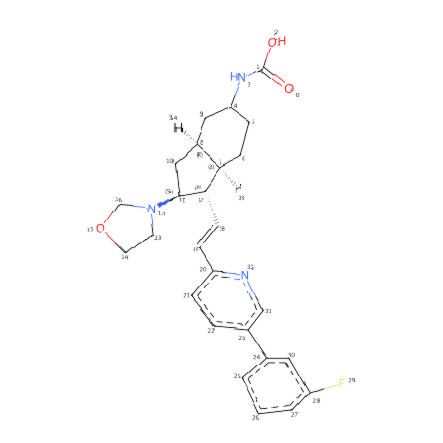 O=C(O)NC1CC[C@@H]2[C@H](C1)C[C@H](N1CCOC1)[C@H]2C=Cc1ccc(-c2cccc(F)c2)cn1